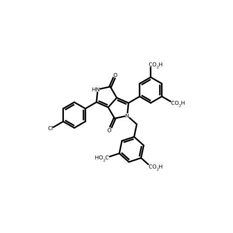 O=C1NC(c2ccc(Cl)cc2)=C2C(=O)N(Cc3cc(C(=O)O)cc(C(=O)O)c3)C(c3cc(C(=O)O)cc(C(=O)O)c3)=C12